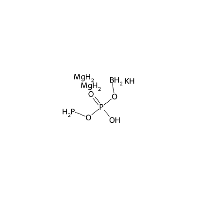 BOP(=O)(O)OP.[KH].[MgH2].[MgH2]